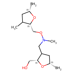 B[C@H]1CC(C)[C@@H](CON(C)CC2C[C@H](B)O[C@@H]2CO)O1